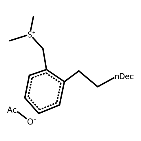 CC(=O)[O-].CCCCCCCCCCCCc1ccccc1C[S+](C)C